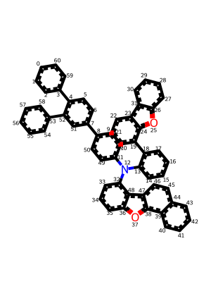 c1ccc(-c2ccc(-c3ccc(N(c4ccccc4-c4cccc5c4oc4ccccc45)c4cccc5oc6c7ccccc7ccc6c45)cc3)cc2-c2ccccc2)cc1